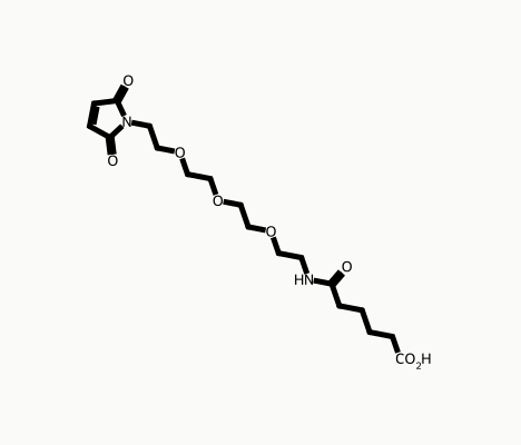 O=C(O)CCCCC(=O)NCCOCCOCCOCCN1C(=O)C=CC1=O